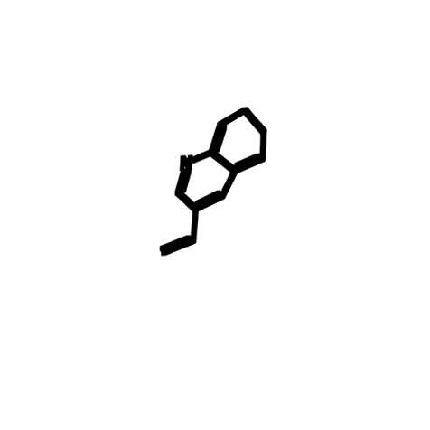 C=Cc1cnc2c(c1)=CCCC=2